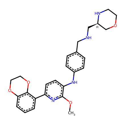 COc1nc(-c2cccc3c2OCCO3)ccc1Nc1ccc(CNC[C@@H]2COCCN2)cc1